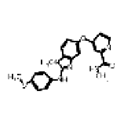 CNC(=O)c1cc(Oc2ccc3c(c2)nc(Nc2ccc(SC)cc2)n3C)ccn1